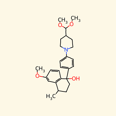 COc1ccc2c(c1)C(C)CCC2(O)c1ccc(N2CCC(C(OC)OC)CC2)cc1